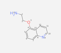 NCCOc1cccc2ncccc12